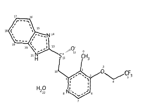 Cc1c(OCC(F)(F)F)ccnc1C[S@@+]([O-])c1nc2ccccc2[nH]1.O